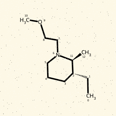 CC[C@@H]1CCCN(CCOC)[C@H]1C